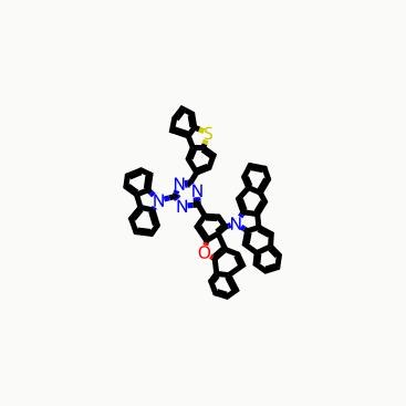 c1ccc2cc3c(cc2c1)c1cc2ccccc2cc1n3-c1cc(-c2nc(-c3ccc4sc5ccccc5c4c3)nc(-n3c4ccccc4c4ccccc43)n2)cc2oc3c4ccccc4ccc3c12